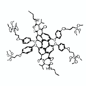 CCCNC(=O)C(C(C)C)N1C(=O)c2cc(Oc3ccc(OCC[Si](OC)(OC)OC)cc3)c3c4c(Oc5ccc(OCC[Si](OC)(OC)OC)cc5)cc5c6c(cc(Oc7ccc(OCC[Si](OC)(OC)OC)cc7)c(c7c(Oc8ccc(OCC[Si](OC)(OC)OC)cc8)cc(c2c37)C1=O)c64)C(=O)N(C(C(=O)NCCC)C(C)C)C5=O